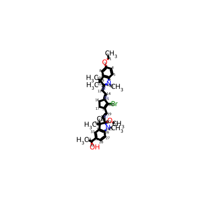 CCOc1ccc2c(c1)C(C)(C)/C(=C/C=C1\CCC(/C=C/C3(OC)N(C)c4ccc(C(C)O)cc4C3(C)C)=C1Br)N2C